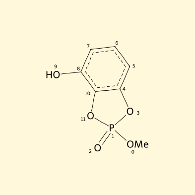 COP1(=O)Oc2cccc(O)c2O1